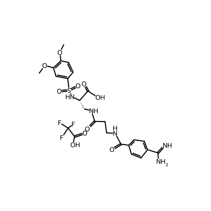 COc1ccc(S(=O)(=O)N[C@@H](CNC(=O)CCNC(=O)c2ccc(C(=N)N)cc2)C(=O)O)cc1OC.O=C(O)C(F)(F)F